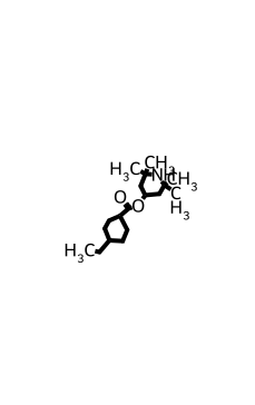 CCC1CCC(C(=O)OC2CC(C)(C)NC(C)(C)C2)CC1